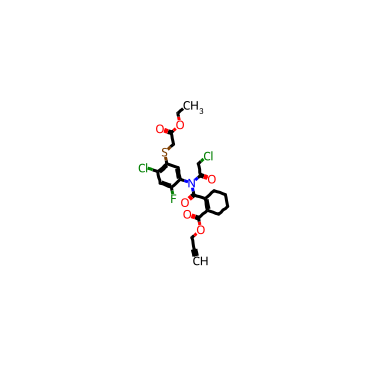 C#CCOC(=O)C1=C(C(=O)N(C(=O)CCl)c2cc(SCC(=O)OCC)c(Cl)cc2F)CCCC1